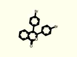 O=c1oc(-c2ccc(Br)cc2)c(-c2ccc(Br)cc2)c2ccccc12